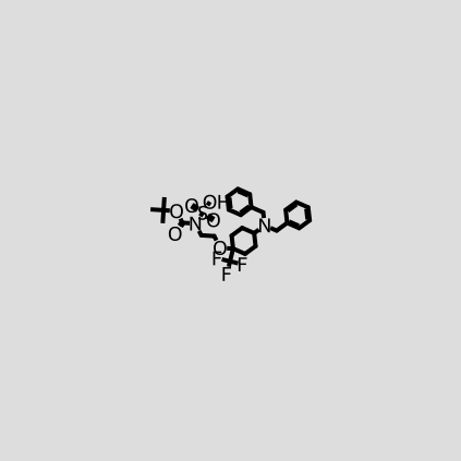 CC(C)(C)OC(=O)N(CCOC1(C(F)(F)F)CCC(N(Cc2ccccc2)Cc2ccccc2)CC1)S(=O)(=O)O